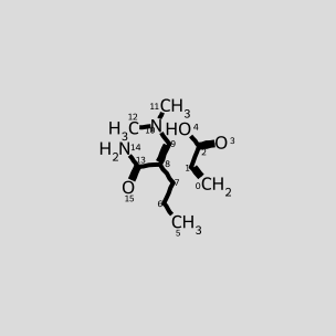 C=CC(=O)O.CCCC(=CN(C)C)C(N)=O